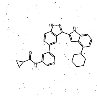 O=C(Nc1cncc(-c2cc3c(-c4cc5c(N6CCCCC6)cccc5[nH]4)n[nH]c3cn2)c1)C1CC1